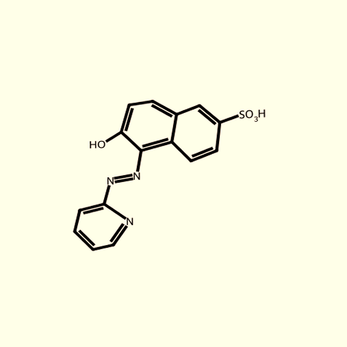 O=S(=O)(O)c1ccc2c(N=Nc3ccccn3)c(O)ccc2c1